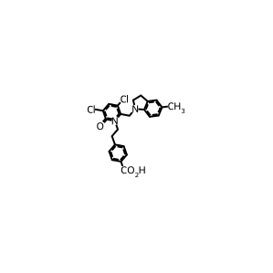 Cc1ccc2c(c1)CCN2Cc1c(Cl)cc(Cl)c(=O)n1CCc1ccc(C(=O)O)cc1